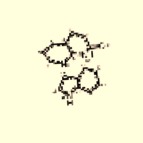 O=c1ccc2cccnc2[nH]1.c1ccc2[nH]ccc2c1